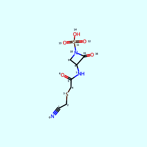 N#CCSCC(=O)NC1CN(S(=O)(=O)O)C1=O